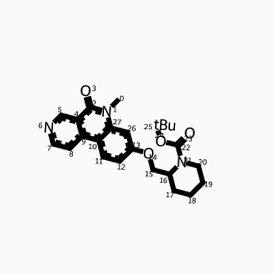 Cn1c(=O)c2cnccc2c2ccc(OCC3CCCCN3C(=O)OC(C)(C)C)cc21